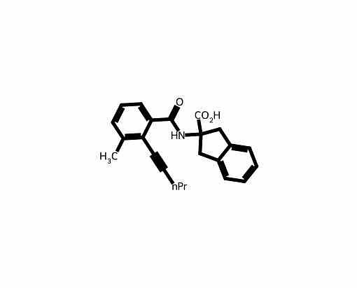 CCCC#Cc1c(C)cccc1C(=O)NC1(C(=O)O)Cc2ccccc2C1